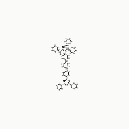 c1ccc(-c2nc(-c3ccccc3)nc(-c3ccc(-c4ccc(-c5ccc6c(c5)cc(-c5ccccc5)n5nc(-c7ccccc7)c(-c7ccccc7)c65)cc4)cc3)n2)cc1